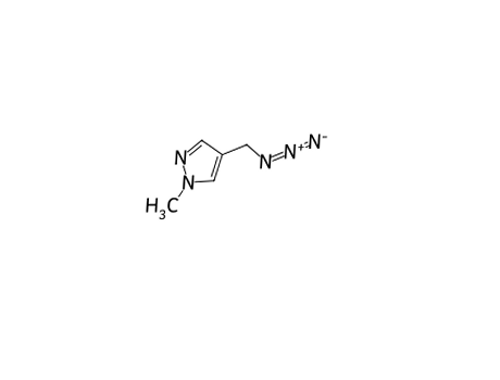 Cn1cc(CN=[N+]=[N-])cn1